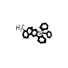 Cc1cccc2c1ccc1cc3c(cc12)-c1ccccc1[Si]3(c1ccccc1)c1ccccc1